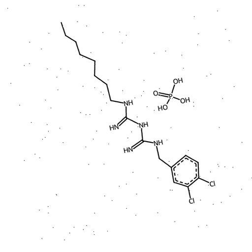 CCCCCCCCNC(=N)NC(=N)NCc1ccc(Cl)c(Cl)c1.O=P(O)(O)O